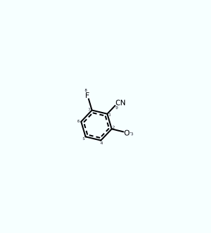 N#Cc1c([O])cccc1F